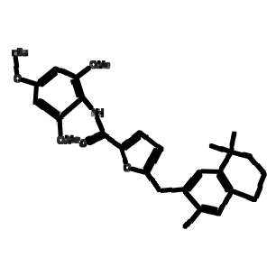 CCCCOc1cc(OC)c(NC(=O)c2ccc(Cc3cc4c(cc3C)CCCC4(C)C)o2)c(OC)c1